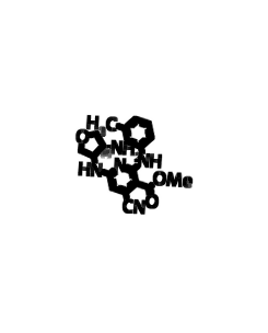 COC(=O)c1c(C#N)cc(NC2COC[C@@H]2N)nc1Nc1cccc(C)c1